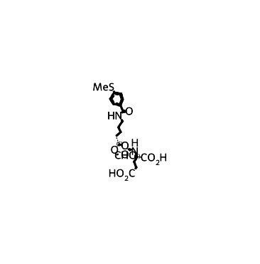 CSc1ccc(C(=O)NCCCC[C@@H](OC=O)OC(=O)N[C@@H](CCC(=O)O)C(=O)O)cc1